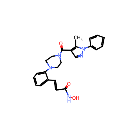 Cc1c(C(=O)N2CCN(c3ccccc3C=CC(=O)NO)CC2)cnn1-c1ccccc1